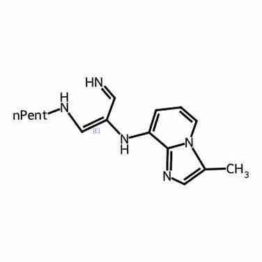 CCCCCN/C=C(\C=N)Nc1cccn2c(C)cnc12